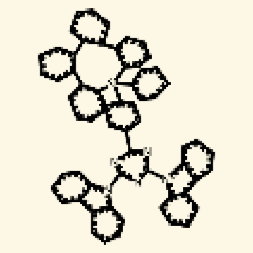 c1ccc([Si]2(c3ccc(-c4nc(-n5c6ccccc6c6ccccc65)nc(-n5c6ccccc6c6ccccc65)n4)cc3)c3ccccc3-c3ccccc3-c3ccccc3-c3ccccc32)cc1